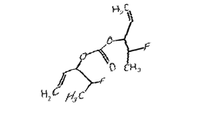 C=CC(OC(=O)OC(C=C)C(C)F)C(C)F